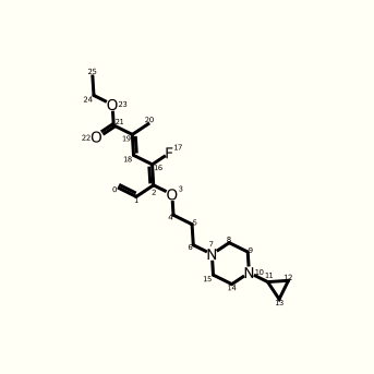 C=C/C(OCCCN1CCN(C2CC2)CC1)=C(F)\C=C(/C)C(=O)OCC